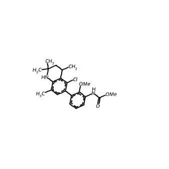 COC(=O)Nc1cccc(-c2cc(C)c3c(c2Cl)C(C)CC(C)(C)N3)c1OC